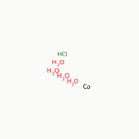 Cl.O.O.O.O.[Co]